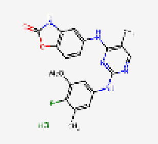 COc1cc(Nc2ncc(C)c(Nc3ccc4oc(=O)[nH]c4c3)n2)cc(C)c1F.Cl